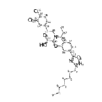 CCCCCCCCc1noc(-c2ccc(C(CC)N(CCc3ccc(Cl)c(Cl)c3)C(=O)C(=O)O)cc2)n1